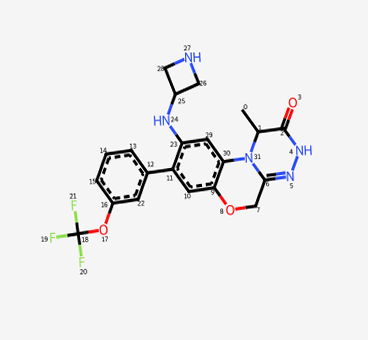 CC1C(=O)NN=C2COc3cc(-c4cccc(OC(F)(F)F)c4)c(NC4CNC4)cc3N21